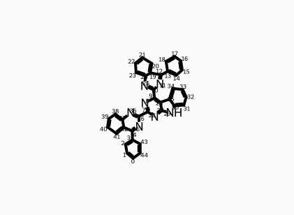 c1ccc(-c2nc(-c3nc(-c4nc(-c5ccccc5)c5ccccc5n4)c4c(n3)[nH]c3ccccc34)nc3ccccc23)cc1